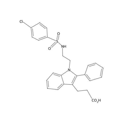 O=C(O)CCc1c(-c2ccccc2)n(CCNS(=O)(=O)c2ccc(Cl)cc2)c2ccccc12